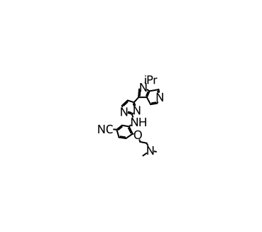 CC(C)n1cc(-c2ccnc(Nc3cc(C#N)ccc3OCCN(C)C)n2)c2ccncc21